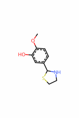 COc1ccc(C2NCCS2)cc1O